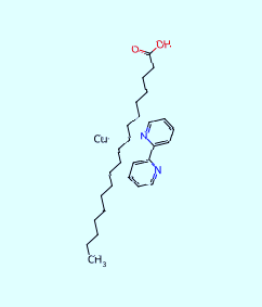 CCCCCCCCCCCCCCCCCC(=O)O.[Cu].c1ccc(-c2ccccn2)nc1